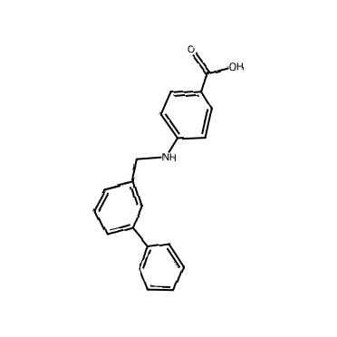 O=C(O)c1ccc(NCc2cccc(-c3ccccc3)c2)cc1